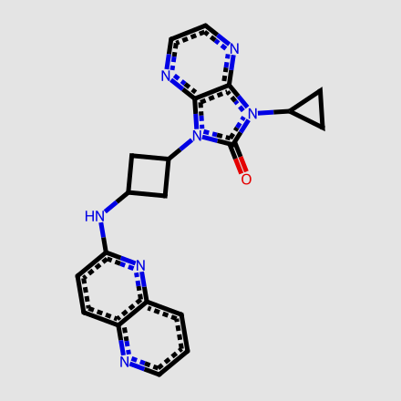 O=c1n(C2CC2)c2nccnc2n1C1CC(Nc2ccc3ncccc3n2)C1